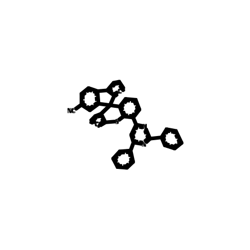 N#Cc1ccc2c(c1)C1(c3ccccc3Sc3c(-c4cc(-c5ccccc5)nc(-c5ccccc5)n4)cccc31)c1ccccc1-2